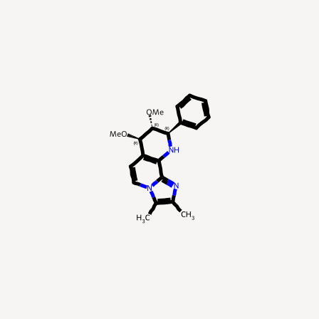 CO[C@@H]1[C@@H](c2ccccc2)Nc2c(ccn3c(C)c(C)nc23)[C@H]1OC